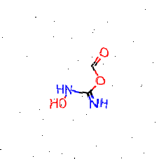 N=C(NO)OC=O